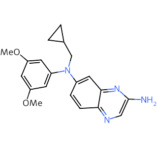 COc1cc(OC)cc(N(CC2CC2)c2ccc3ncc(N)nc3c2)c1